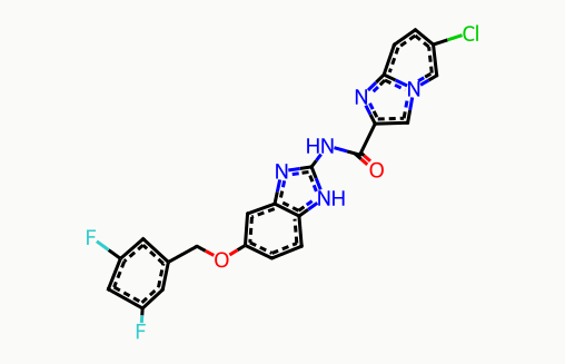 O=C(Nc1nc2cc(OCc3cc(F)cc(F)c3)ccc2[nH]1)c1cn2cc(Cl)ccc2n1